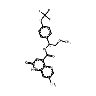 COC[C@@H](NC(=O)c1cc(=O)[nH]c2cc(C)cnc12)c1ccc(OC(F)(F)F)cc1